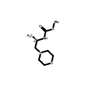 C[C@H](CN1CCOCC1)NC(=O)OC(C)(C)C